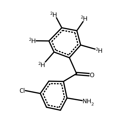 [2H]c1c([2H])c([2H])c(C(=O)c2cc(Cl)ccc2N)c([2H])c1[2H]